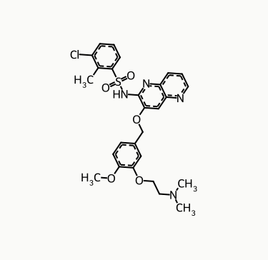 COc1ccc(COc2cc3ncccc3nc2NS(=O)(=O)c2cccc(Cl)c2C)cc1OCCN(C)C